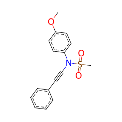 COc1ccc(N(C#Cc2ccccc2)S(C)(=O)=O)cc1